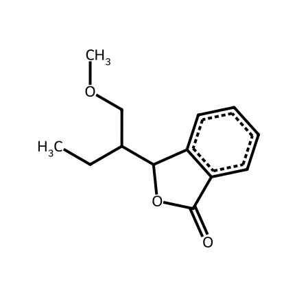 CCC(COC)C1OC(=O)c2ccccc21